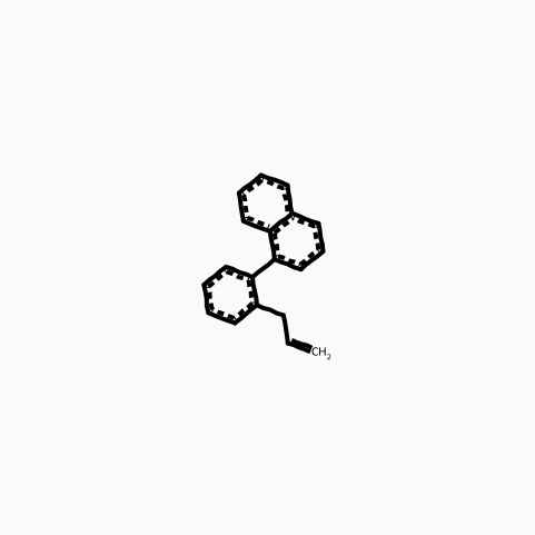 C=CCc1[c]cccc1-c1cccc2ccccc12